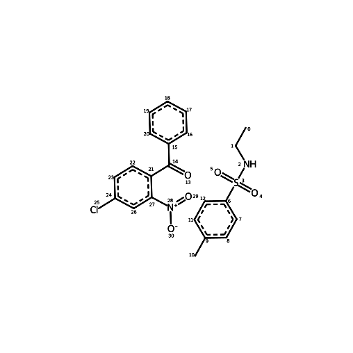 CCNS(=O)(=O)c1ccc(C)cc1.O=C(c1ccccc1)c1ccc(Cl)cc1[N+](=O)[O-]